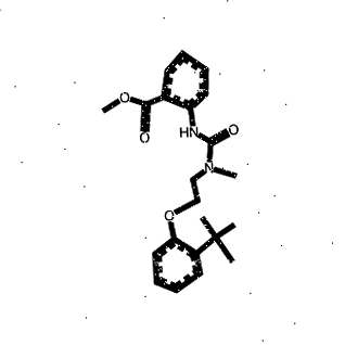 COC(=O)c1ccccc1NC(=O)N(C)CCOc1ccccc1C(C)(C)C